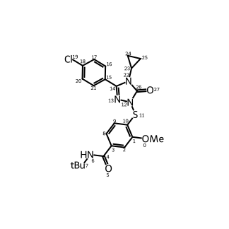 COc1cc(C(=O)NC(C)(C)C)ccc1Sn1nc(-c2ccc(Cl)cc2)n(C2CC2)c1=O